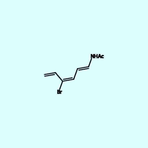 C=C/C(Br)=C\C=C\NC(C)=O